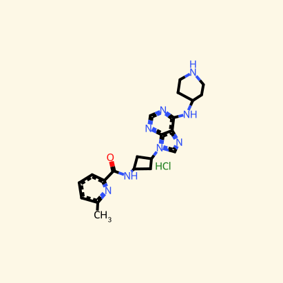 Cc1cccc(C(=O)NC2CC(n3cnc4c(NC5CCNCC5)ncnc43)C2)n1.Cl